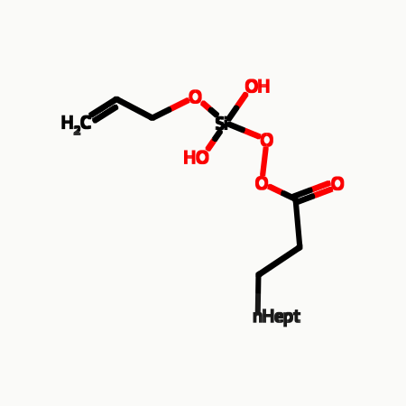 C=CCO[Si](O)(O)OOC(=O)CCCCCCCCC